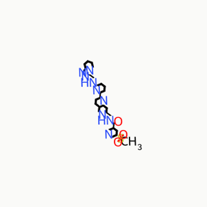 CS(=O)(=O)c1cncc(C(=O)NCc2cc3nc(-c4cccc(NCc5nnc6ccccn56)n4)ccc3cn2)c1